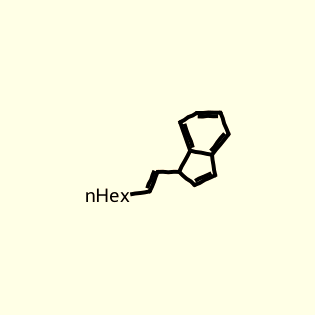 CCCCCCC=CC1C=Cc2ccccc21